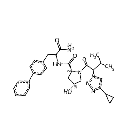 CC(C)C(C(=O)N1C[C@H](O)C[C@H]1C(=O)NC(Cc1ccc(-c2ccccc2)cc1)C(N)=O)n1cc(C2CC2)nn1